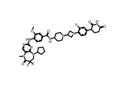 COc1cc(C(=O)NC2CCN(C3CN(c4ccc(C5CCC(=O)NC5=O)cc4F)C3)CC2)ccc1Nc1ncc2c(n1)N(C1CCCC1)CC(F)(F)C(=O)N2C